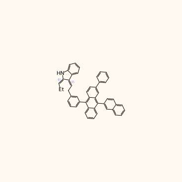 CC/C=c1/[nH]c2ccccc2/c1=C/Cc1cccc(-c2c3ccccc3c(-c3ccc4ccccc4c3)c3cc(-c4ccccc4)ccc23)c1